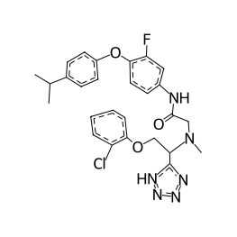 CC(C)c1ccc(Oc2ccc(NC(=O)CN(C)C(COc3ccccc3Cl)c3nnn[nH]3)cc2F)cc1